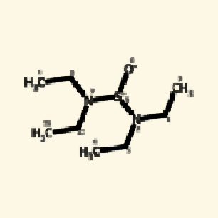 CCN(CC)[S+]([O-])N(CC)CC